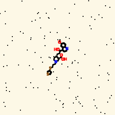 COc1ccc2nccc([C@H](O)CC[C@@H]3CCN(CCCSc4ccsc4)C[C@@H]3C(=O)O)c2c1